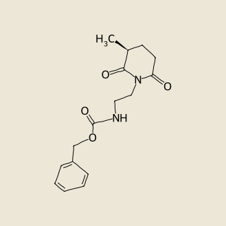 C[C@H]1CCC(=O)N(CCNC(=O)OCc2ccccc2)C1=O